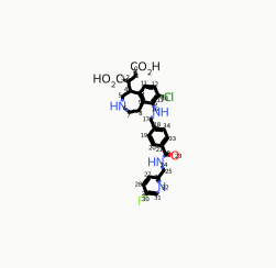 O=C(O)CC(C(=O)O)C1CNCCc2c1ccc(Cl)c2NCc1ccc(C(=O)NCc2ccc(F)cn2)cc1